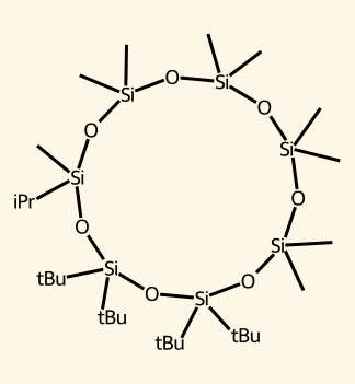 CC(C)[Si]1(C)O[Si](C)(C)O[Si](C)(C)O[Si](C)(C)O[Si](C)(C)O[Si](C(C)(C)C)(C(C)(C)C)O[Si](C(C)(C)C)(C(C)(C)C)O1